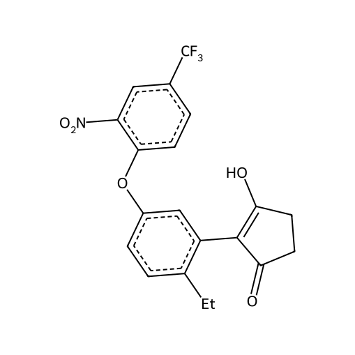 CCc1ccc(Oc2ccc(C(F)(F)F)cc2[N+](=O)[O-])cc1C1=C(O)CCC1=O